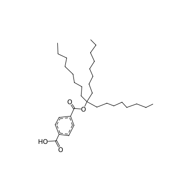 CCCCCCCCC(CCCCCCCC)(CCCCCCCC)OC(=O)c1ccc(C(=O)O)cc1